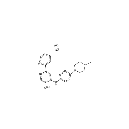 COc1cnc(-c2ccccn2)nc1Nc1ccc(N2CCC(C)CC2)cn1.Cl.Cl